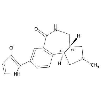 CN1C[C@H]2CNC(=O)c3cc(-c4[nH]ccc4Cl)ccc3[C@@H]2C1